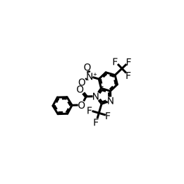 O=C(Oc1ccccc1)n1c(C(F)(F)F)nc2cc(C(F)(F)F)cc([N+](=O)[O-])c21